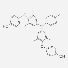 Cc1ccc(C(c2cc(C)c(Oc3ccc(O)cc3)c(C)c2)c2cc(C)c(Oc3ccc(O)cc3)c(C)c2)cc1